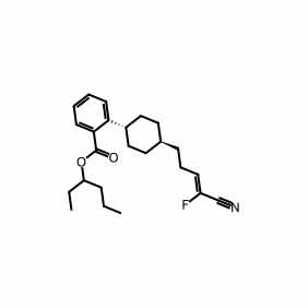 CCCC(CC)OC(=O)c1ccccc1[C@H]1CC[C@H](CCC=C(F)C#N)CC1